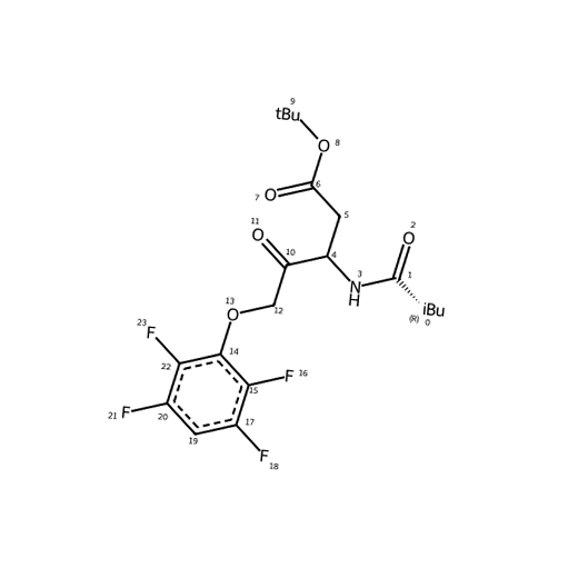 CC[C@@H](C)C(=O)NC(CC(=O)OC(C)(C)C)C(=O)COc1c(F)c(F)cc(F)c1F